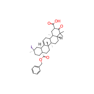 CC1(C)C(=O)C(C(=O)O)C[C@]2(C)C3CC=C4[C@@H]5C[C@](C)(I)CC[C@]5(C(=O)OCc5ccccc5)CC[C@@]4(C)[C@]3(C)CC[C@@H]12